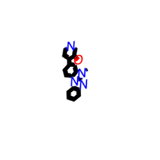 Cn1c2c3oc4cnccc4c3ccc2n2c3ccccc3nc12